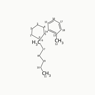 C1CCCCC1.CCCCCC.Cc1ccccc1